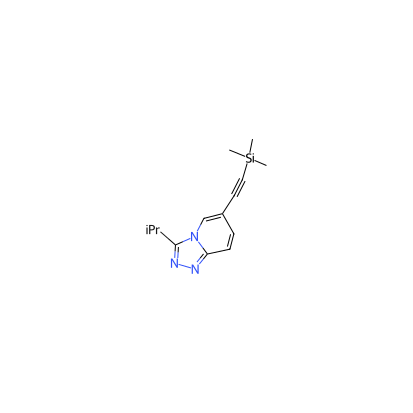 CC(C)c1nnc2ccc(C#C[Si](C)(C)C)cn12